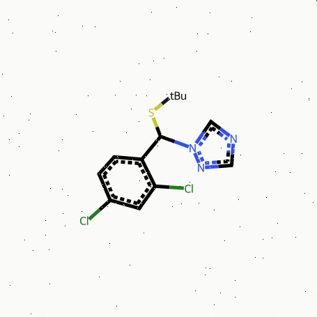 CC(C)(C)SC(c1ccc(Cl)cc1Cl)n1cncn1